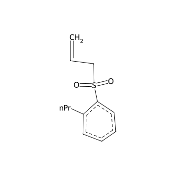 C=CCS(=O)(=O)c1ccccc1CCC